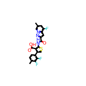 Cc1cc(F)c2cc(C(=O)Nc3scc(-c4ccc(C)c(F)c4F)c3C(=O)O)nn2c1